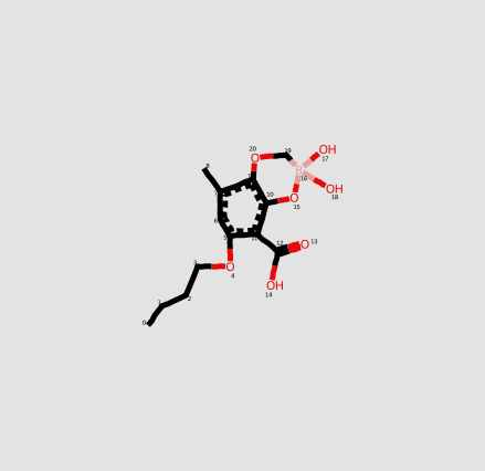 CCCCOc1cc(C)c2c(c1C(=O)O)O[B-](O)(O)CO2